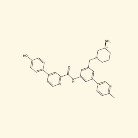 Cc1ccc(-c2cc(CN3CCC[C@H](N)C3)cc(NC(=O)c3cc(-c4ccc(O)cc4)ccn3)c2)cn1